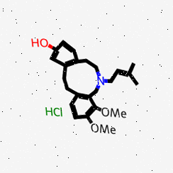 COc1ccc2c(c1OC)CN(CC=C(C)C)CCc1ccc(O)cc1CC2.Cl